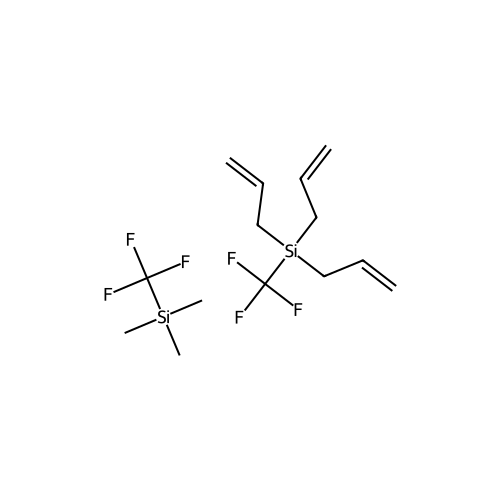 C=CC[Si](CC=C)(CC=C)C(F)(F)F.C[Si](C)(C)C(F)(F)F